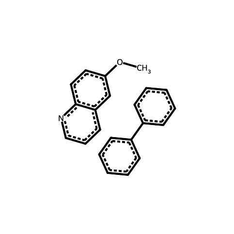 COc1ccc2ncccc2c1.c1ccc(-c2ccccc2)cc1